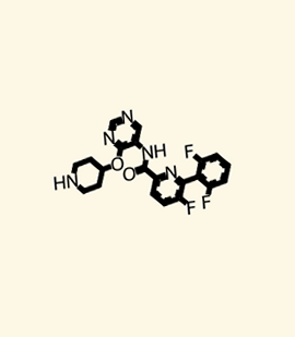 O=C(Nc1cncnc1OC1CCNCC1)c1ccc(F)c(-c2c(F)cccc2F)n1